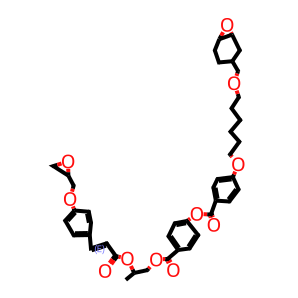 CC(COC(=O)c1ccc(OC(=O)c2ccc(OCCCCCCOCC3CCC4OC4C3)cc2)cc1)OC(=O)/C=C/c1ccc(OCC2CO2)cc1